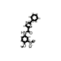 COc1ccc(NC(=O)c2cnc(-c3ccccc3)s2)cc1[N+](=O)[O-]